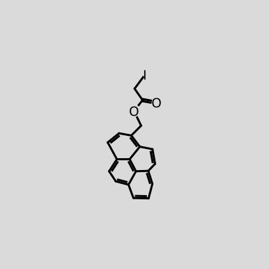 O=C(CI)OCc1ccc2ccc3cccc4ccc1c2c34